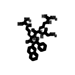 N=C(N)NCCC[C@H](NC(=O)CN)C(=O)N[C@@H](CCCNC(=N)N)C(=O)N(C(=O)c1ccccc1)c1ccc2ccccc2c1